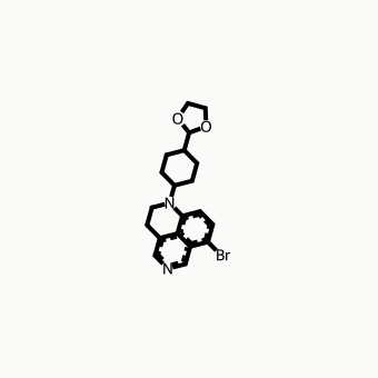 Brc1ccc2c3c(cncc13)CCN2C1CCC(C2OCCO2)CC1